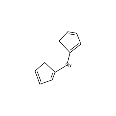 C1=CC[C]([Pb][C]2=CC=CC2)=C1